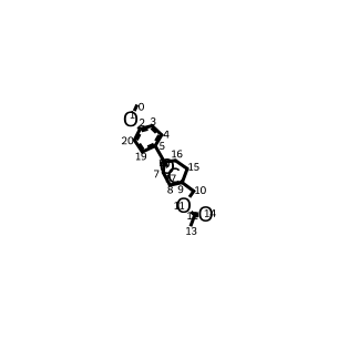 COc1ccc(C23CCC(COC(C)=O)(CC2)CO3)cc1